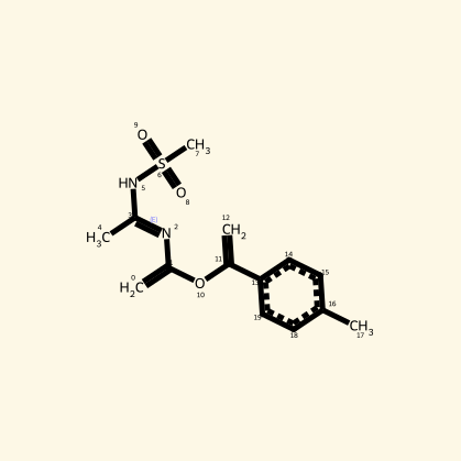 C=C(/N=C(\C)NS(C)(=O)=O)OC(=C)c1ccc(C)cc1